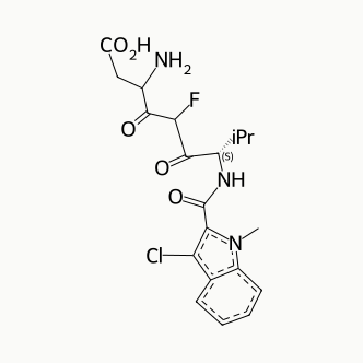 CC(C)[C@H](NC(=O)c1c(Cl)c2ccccc2n1C)C(=O)C(F)C(=O)C(N)CC(=O)O